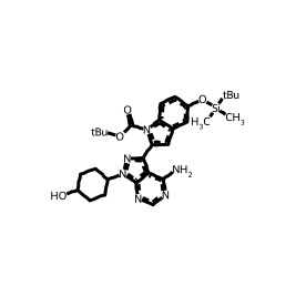 CC(C)(C)OC(=O)n1c(-c2nn(C3CCC(O)CC3)c3ncnc(N)c23)cc2cc(O[Si](C)(C)C(C)(C)C)ccc21